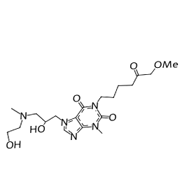 COCC(=O)CCCCn1c(=O)c2c(ncn2CC(O)CN(C)CCO)n(C)c1=O